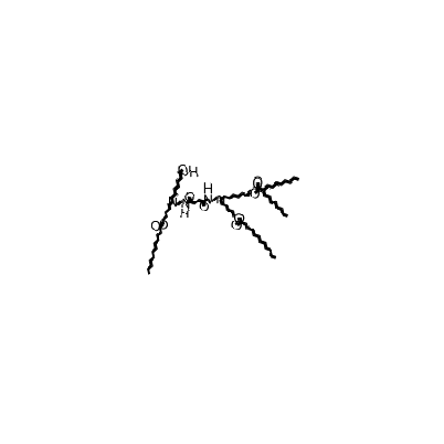 CCCCCCCCCCCC(=O)OCCCCCN(CCCCCCCO)CCNC(=O)CCC(=O)NCCN(CCCCCCCOC(=O)C(CCCCCCCC)CCCCCCCC)CCCCCOC(=O)CCCCCCCCCCC